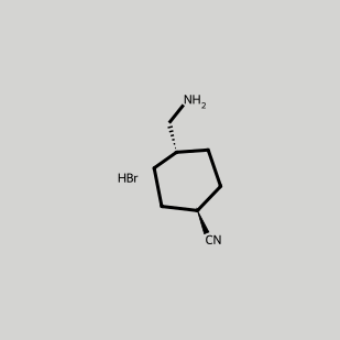 Br.N#C[C@H]1CC[C@H](CN)CC1